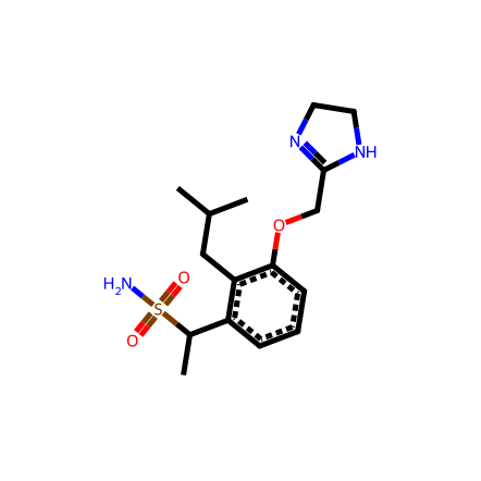 CC(C)Cc1c(OCC2=NCCN2)cccc1C(C)S(N)(=O)=O